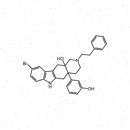 Oc1cccc(C23CCN(CCc4ccccc4)CC2(O)Cc2c([nH]c4ccc(Br)cc24)C3)c1